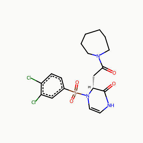 O=C1NC=CN(S(=O)(=O)c2ccc(Cl)c(Cl)c2)[C@@H]1CC(=O)N1CCCCCC1